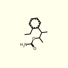 CCc1ccccc1C(C)C(C)OC(N)=O